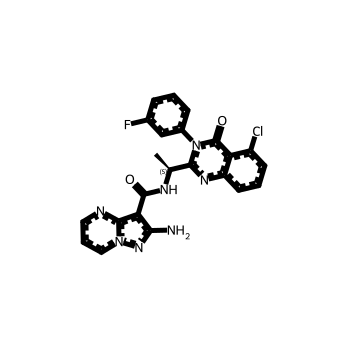 C[C@H](NC(=O)c1c(N)nn2cccnc12)c1nc2cccc(Cl)c2c(=O)n1-c1cccc(F)c1